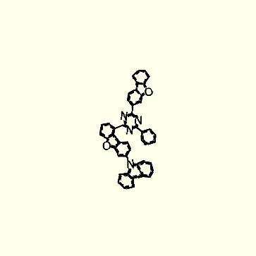 c1ccc(-c2nc(-c3ccc4c(c3)oc3ccccc34)nc(-c3cccc4oc5cc(-n6c7ccccc7c7ccccc76)ccc5c34)n2)cc1